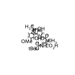 COc1ccc2c3c1O[C@H]1C(OC(=O)N(C)[C@@H](CNC(=O)OC(C)(C)C)C(=O)O)=CC[C@@]4(O)C(C2)N(C)CC[C@]314